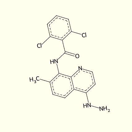 Cc1ccc2c(NN)ccnc2c1NC(=O)c1c(Cl)cccc1Cl